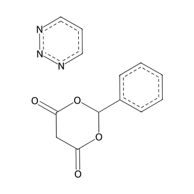 O=C1CC(=O)OC(c2ccccc2)O1.c1cnnnc1